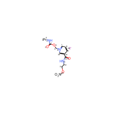 CC(C)NC(=O)OC[n+]1cccc(C(=O)NCCO[N+](=O)[O-])c1.[I-]